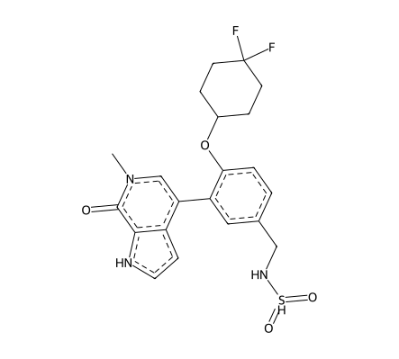 Cn1cc(-c2cc(CN[SH](=O)=O)ccc2OC2CCC(F)(F)CC2)c2cc[nH]c2c1=O